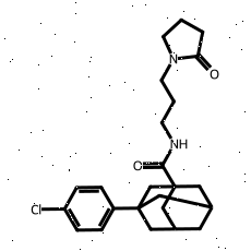 O=C1CCCN1CCCNC(=O)C12CC3CC(C1)CC(c1ccc(Cl)cc1)(C3)C2